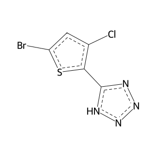 Clc1cc(Br)sc1-c1nnn[nH]1